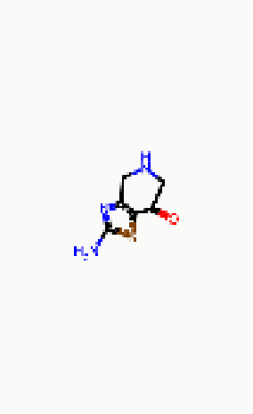 Nc1nc2c(s1)C(=O)CNC2